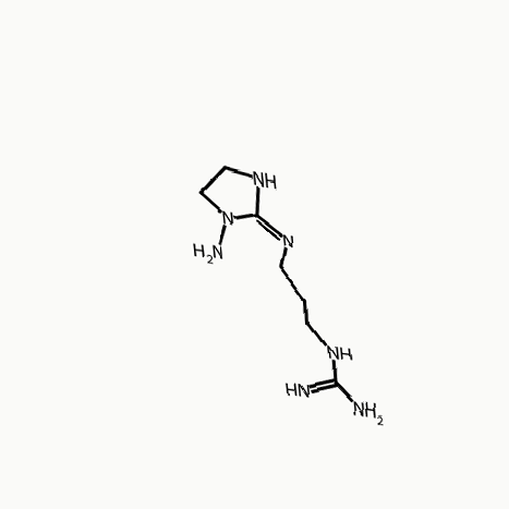 N=C(N)NCCCN=C1NCCN1N